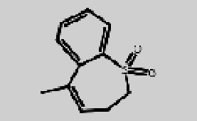 CC1=CCCS(=O)(=O)c2ccccc21